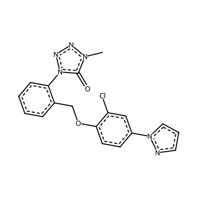 Cn1nnn(-c2ccccc2COc2ccc(-n3cccn3)cc2Cl)c1=O